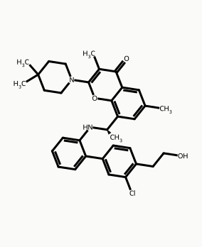 Cc1cc([C@@H](C)Nc2ccccc2-c2ccc(CCO)c(Cl)c2)c2oc(N3CCC(C)(C)CC3)c(C)c(=O)c2c1